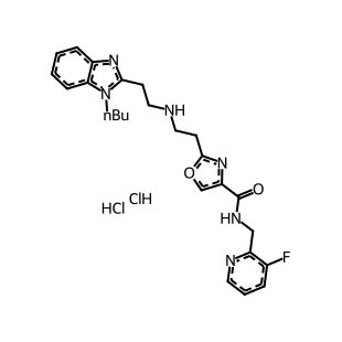 CCCCn1c(CCNCCc2nc(C(=O)NCc3ncccc3F)co2)nc2ccccc21.Cl.Cl